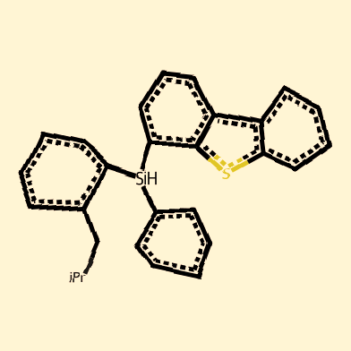 CC(C)Cc1ccccc1[SiH](c1ccccc1)c1cccc2c1sc1ccccc12